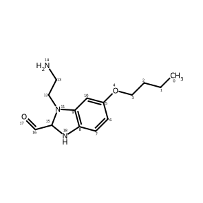 CCCCOc1ccc2c(c1)N(CCN)C(C=O)N2